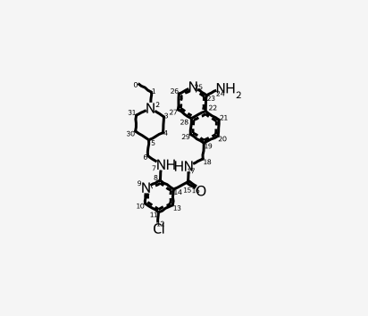 CCN1CCC(CNc2ncc(Cl)cc2C(=O)NCc2ccc3c(N)nccc3c2)CC1